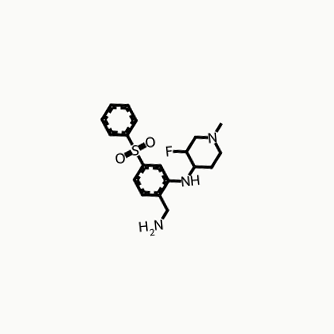 CN1CCC(Nc2cc(S(=O)(=O)c3ccccc3)ccc2CN)C(F)C1